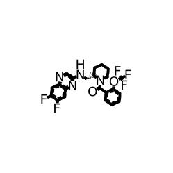 O=C(c1ccccc1OC(F)(F)F)N1CCCC[C@H]1CNc1cnc2cc(F)c(F)cc2n1